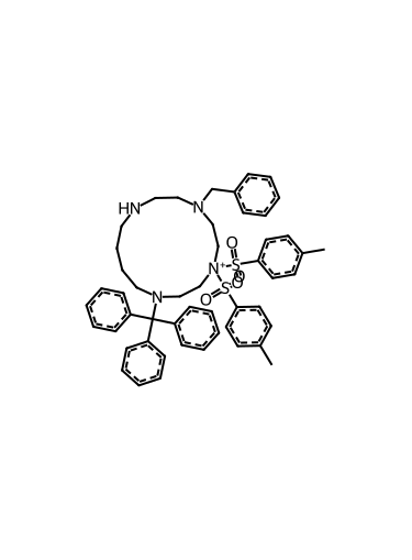 Cc1ccc(S(=O)(=O)[N+]2(S(=O)(=O)c3ccc(C)cc3)CCN(Cc3ccccc3)CCNCCCCN(C(c3ccccc3)(c3ccccc3)c3ccccc3)CC2)cc1